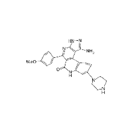 COc1ccc(-c2nc3[nH]nc(N)c3c3c2c(=O)[nH]c2cc(N4CCNCC4)ccc23)cc1